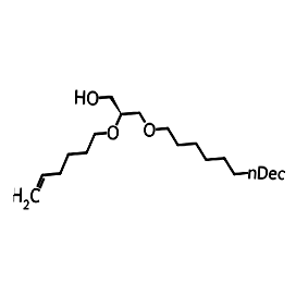 C=CCCCCO[C@@H](CO)COCCCCCCCCCCCCCCCC